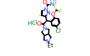 CCN1CC2CN(C(=O)C(c3[c]cn(C(N)=O)n3)c3cc(Cl)ccc3OC(F)F)CC2C1.Cl